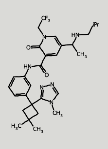 CC(C)CNC(C)c1cc(C(=O)Nc2cccc(C3(c4nncn4C)CC(C)(C)C3)c2)c(=O)n(CC(F)(F)F)c1